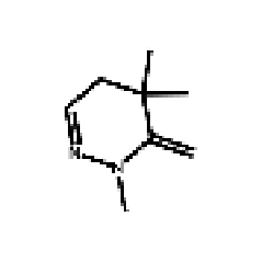 C=C1N(C)N=CCC1(C)C